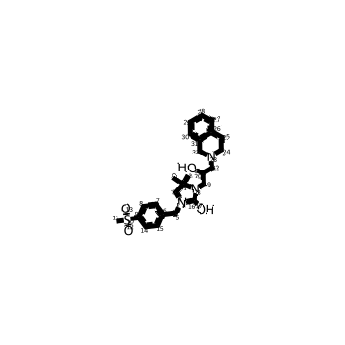 CC1(C)CN(Cc2ccc(S(C)(=O)=O)cc2)C(O)N1CC(O)CN1CCc2ccccc2C1